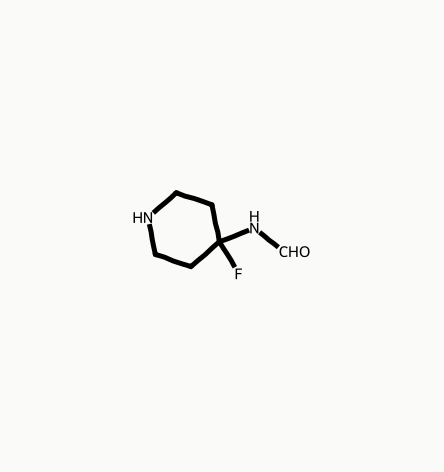 O=CNC1(F)CCNCC1